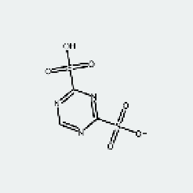 O=S(=O)(O)c1n[c]nc(S(=O)(=O)O)n1